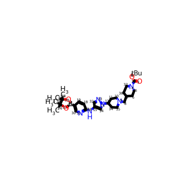 CC(C)(C)OC(=O)N1CCC(CN2CCC(n3cc(Nc4ccc(B5OC(C)(C)C(C)(C)O5)cn4)cn3)CC2)CC1